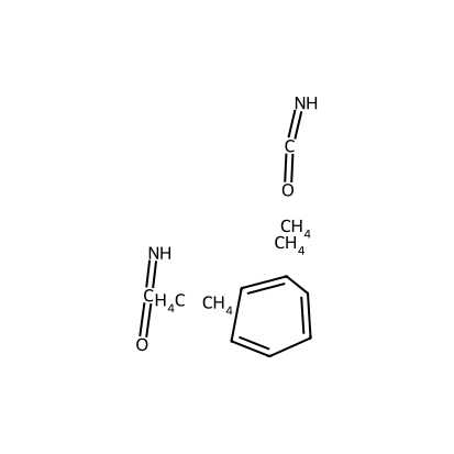 C.C.C.C.N=C=O.N=C=O.c1ccccc1